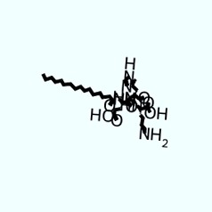 CCCCCCCCCCCCCCCC(=O)N[C@@H](CCC(=O)O)C(=O)N[C@@H](Cc1c[nH]cn1)C(=O)N[C@@H](CCCCN)C(=O)O